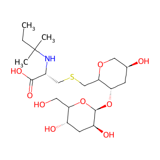 CCC(C)(C)N[C@H](CSCC1OC[C@@H](O)C[C@@H]1O[C@@H]1OC(CO)[C@@H](O)C[C@@H]1O)C(=O)O